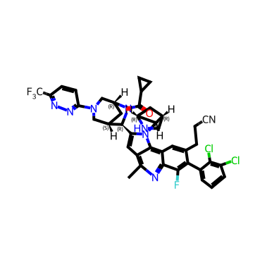 Cc1nc2c(F)c(-c3cccc(Cl)c3Cl)c(CCC#N)cc2c2c1cc([C@H]1[C@H]3C[C@H](CN(c4ccc(C(F)(F)F)nn4)C3)N1C(=O)C1CC1)n2[C@H]1[C@H]2CN[C@@H]1C2